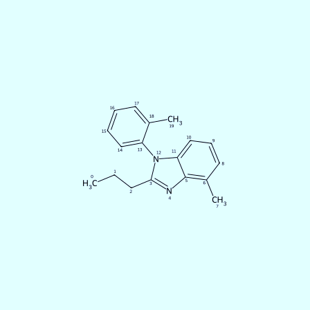 CCCc1nc2c(C)cccc2n1-c1ccccc1C